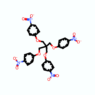 O=[N+]([O-])c1ccc(OCC(COc2ccc([N+](=O)[O-])cc2)(COc2ccc([N+](=O)[O-])cc2)COc2ccc([N+](=O)[O-])cc2)cc1